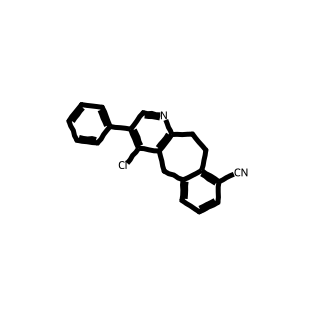 N#Cc1cccc2c1CCc1ncc(-c3ccccc3)c(Cl)c1C2